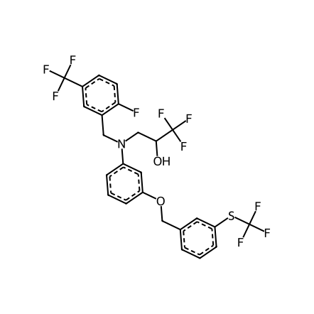 OC(CN(Cc1cc(C(F)(F)F)ccc1F)c1cccc(OCc2cccc(SC(F)(F)F)c2)c1)C(F)(F)F